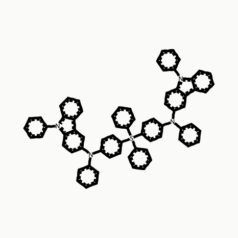 c1ccc(N(c2ccc(S(c3ccccc3)(c3ccccc3)c3ccc(N(c4ccccc4)c4ccc5c(c4)c4ccccc4n5-c4ccccc4)cc3)cc2)c2ccc3c(c2)c2ccccc2n3-c2ccccc2)cc1